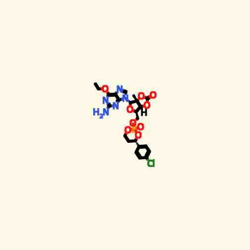 CCOc1nc(N)nc2c1ncn2[C@@H]1O[C@H](CO[P@@]2(=O)OCC[C@@H](c3ccc(Cl)cc3)O2)[C@H]2OC(=O)O[C@]21C